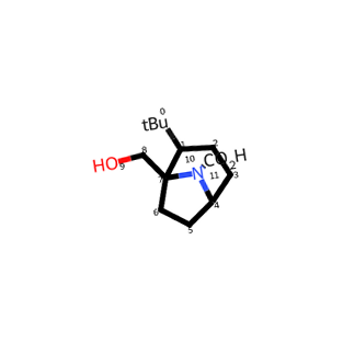 CC(C)(C)C1CCC2CCC1(CO)N2C(=O)O